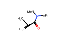 C=C(C)C(=O)N(CCC)NC